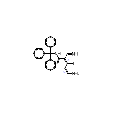 C=C(NC(c1ccccc1)(c1ccccc1)c1ccccc1)/C(C=N)=C(I)\C=C/N